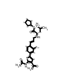 CC(C)C[C@H](NCC=Cc1ccc(-c2cc(C(N)=O)c(NC(N)=O)s2)cc1F)C(=O)OC1CCCC1